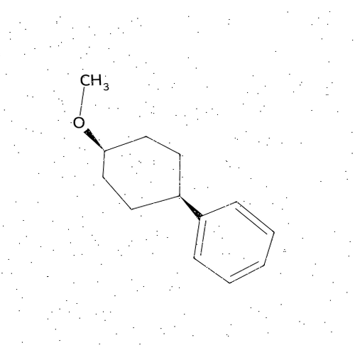 CO[C@H]1CC[C@@H](c2ccccc2)CC1